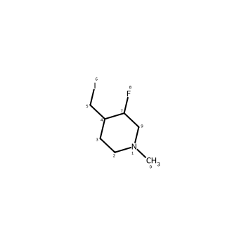 CN1CCC(CI)C(F)C1